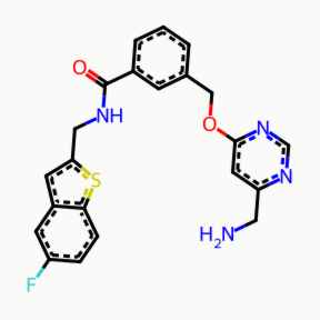 NCc1cc(OCc2cccc(C(=O)NCc3cc4cc(F)ccc4s3)c2)ncn1